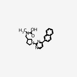 CN(CC1CCN(c2nccc(-c3ccc4ccccc4c3)n2)C1)C(=O)O